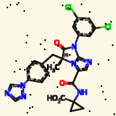 C[C@@]1(Cc2ccc(-n3cncn3)cc2)C(=O)N(c2cc(Cl)cc(Cl)c2)c2ncc(C(=O)NC3(C(=O)O)CC3)n21